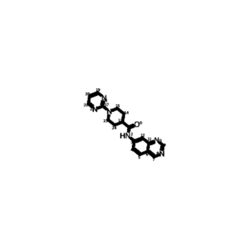 O=C(Nc1ccc2cncnc2c1)C1CCN(c2ncccn2)CC1